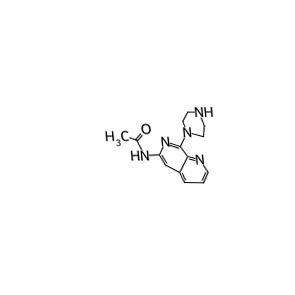 CC(=O)Nc1cc2cccnc2c(N2CCNCC2)n1